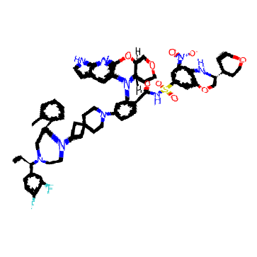 CC[C@H](c1ccc(F)c(F)c1)N1CCN(C2CC3(CCN(c4ccc(C(=O)NS(=O)(=O)c5cc6c(c([N+](=O)[O-])c5)N[C@H](C5CCOCC5)CO6)c(N5c6cc7cc[nH]c7nc6O[C@H]6COCC[C@@H]65)c4)CC3)C2)[C@H](c2ccccc2C)C1